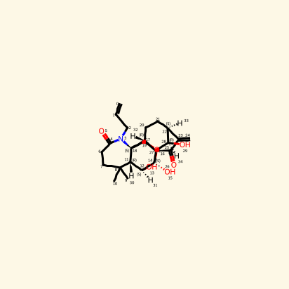 C=CCN1C(=O)CCC(C)(C)[C@H]2[C@H](O)[C@@]3(O)OC[C@]21[C@@H]1CC[C@H]2C(=C)C(=O)[C@]13[C@@H]2O